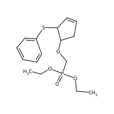 CCOP(=O)(COC1CC=CC1Sc1ccccc1)OCC